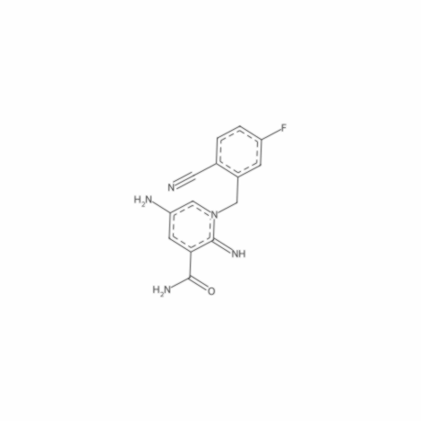 N#Cc1ccc(F)cc1Cn1cc(N)cc(C(N)=O)c1=N